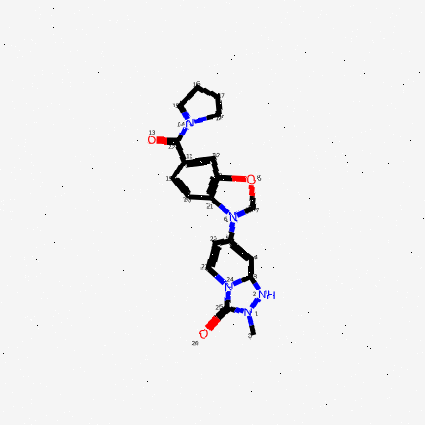 CN1NC2C=C(N3COc4cc(C(=O)N5CCCC5)ccc43)C=CN2C1=O